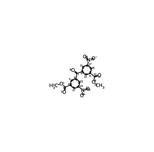 COC(=O)c1cc(C(=O)c2cc(C(=O)OC)cc([N+](=O)[O-])c2)cc([N+](=O)[O-])c1